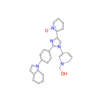 [O-][n+]1ccccc1-c1cn(C2=CN(CO)CC=C2)c(-c2ccc(-n3ccc4ccccc43)cc2)n1